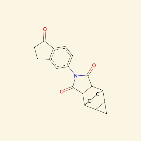 O=C1CCc2cc(N3C(=O)C4C5CCC(C6CC65)C4C3=O)ccc21